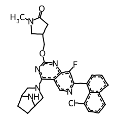 CN1CC(COc2nc(N3CC4CCC(C3)N4)c3cnc(-c4cccc5cccc(Cl)c45)c(F)c3n2)CC1=O